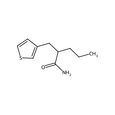 CCCC(Cc1ccsc1)C(N)=O